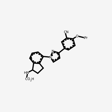 CC(C)Oc1ccc(-c2ccn(-c3cccc4c3CCC4NC(=O)O)n2)cc1C#N